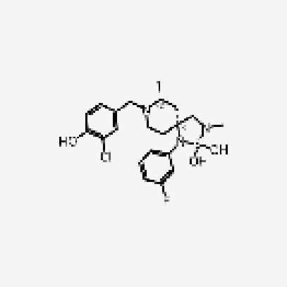 C[C@H]1C[C@]2(CCN1Cc1ccc(O)c(Cl)c1)CN(C)S(O)(O)N2c1cccc(F)c1